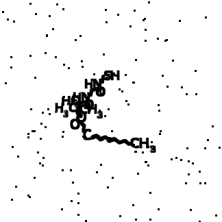 CCCCCCCCCC=C=CCC(=O)OCC(C)(C)[C@H](O)C(=O)NCCC(=O)NCCS